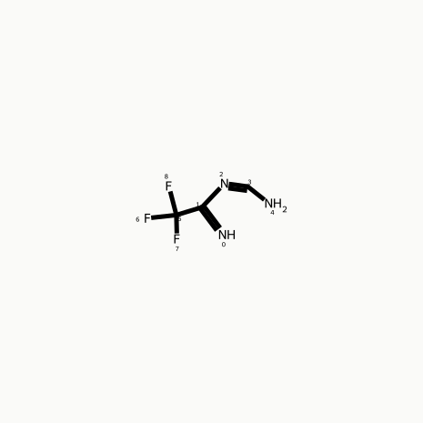 N=C(/N=C\N)C(F)(F)F